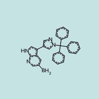 Bc1cnc2[nH]cc(-c3cnn(C(c4ccccc4)(c4ccccc4)c4ccccc4)c3)c2c1